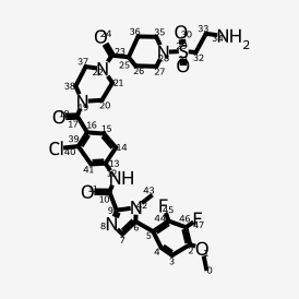 COc1ccc(-c2cnc(C(=O)Nc3ccc(C(=O)N4CCN(C(=O)C5CCN(S(=O)(=O)CCN)CC5)CC4)c(Cl)c3)n2C)c(F)c1F